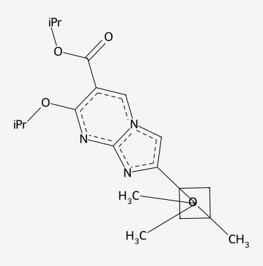 CC(C)OC(=O)c1cn2cc(C34CC(C)(C3)OC4(C)C)nc2nc1OC(C)C